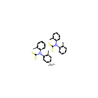 Cc1ccccc1N(C(=S)[S-])c1ccccc1C.Cc1ccccc1N(C(=S)[S-])c1ccccc1C.[Zn+2]